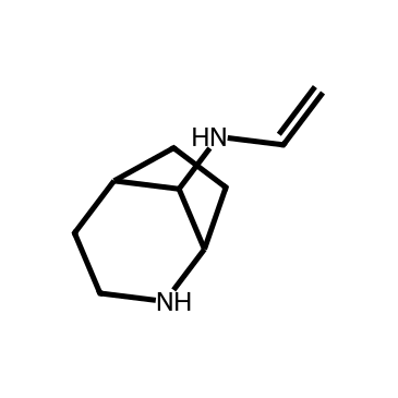 C=CNC1C2CCNC1CC2